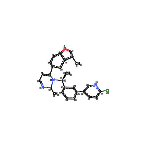 Cc1coc2ccc(C3=CC=NC(C)N3[C@@H](C)c3cccc(-c4ccc(Cl)nc4)c3)cc12